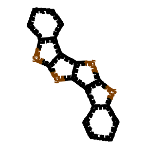 c1ccc2c(c1)sc1sc3c(sc4sc5ccccc5c43)c12